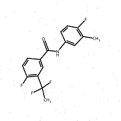 Cc1cc(NC(=O)c2ccc(F)c(C(C)(F)F)c2)ccc1F